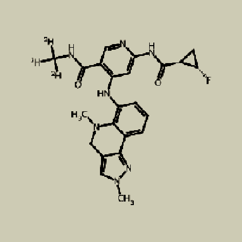 [2H]C([2H])([2H])NC(=O)c1cnc(NC(=O)[C@H]2C[C@@H]2F)cc1Nc1cccc2c1N(C)Cc1cn(C)nc1-2